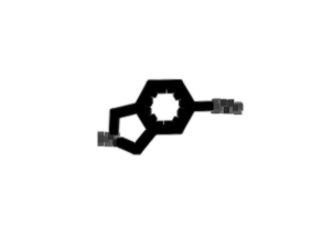 CSc1ccc2c(c1)CNC2